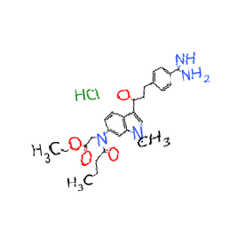 CCCC(=O)N(CC(=O)OCC)c1ccc2c(C(=O)CCc3ccc(C(=N)N)cc3)cn(C)c2c1.Cl